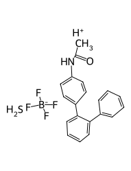 CC(=O)Nc1ccc(-c2ccccc2-c2ccccc2)cc1.F[B-](F)(F)F.S.[H+]